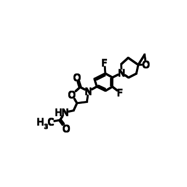 CC(=O)NCC1CN(c2cc(F)c(N3CCC4(CC3)CO4)c(F)c2)C(=O)O1